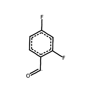 O=[C]c1ccc(F)cc1F